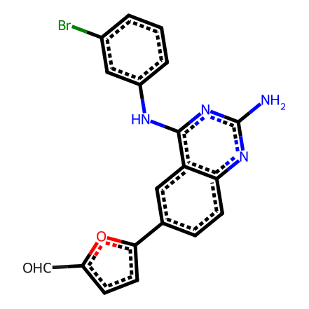 Nc1nc(Nc2cccc(Br)c2)c2cc(-c3ccc(C=O)o3)ccc2n1